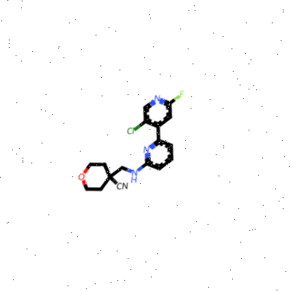 N#CC1(CNc2cccc(-c3cc(F)ncc3Cl)n2)CCOCC1